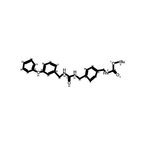 CC(C)(C)OC(=O)NCc1ccc(CNC(=O)NCc2cccc(Oc3ccccc3)c2)cc1